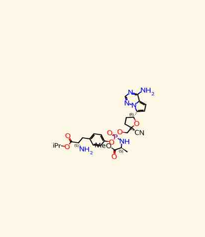 COC(=O)[C@H](C)NP(=O)(OC[C@]1(C#N)CC[C@H](c2ccc3c(N)ncnn23)O1)Oc1ccc(C[C@H](N)C(=O)OC(C)C)cc1